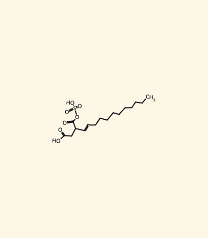 CCCCCCCCCCC=CC(CC(=O)O)C(=O)OS(=O)(=O)O